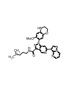 COc1cc2c(cc1-n1nc(C(=O)NCCCN(C)C)c3cnc(-c4cnn5cccnc45)cc31)OCCN2